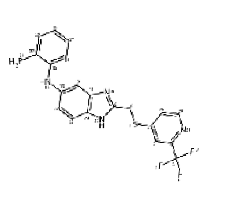 FC(F)(F)c1cc(SCc2nc3cc(Nc4ccccc4P)ccc3[nH]2)ccn1